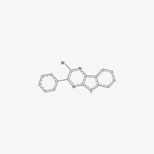 Brc1nc2c(nc1-c1ccccc1)sc1ccccc12